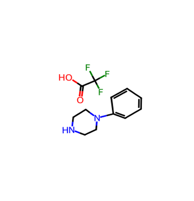 O=C(O)C(F)(F)F.c1ccc(N2CCNCC2)cc1